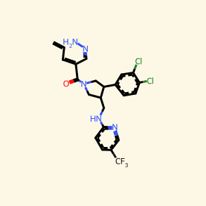 C=C/C=C(\C=N/N)C(=O)N1CC(CNc2ccc(C(F)(F)F)cn2)C(c2ccc(Cl)c(Cl)c2)C1